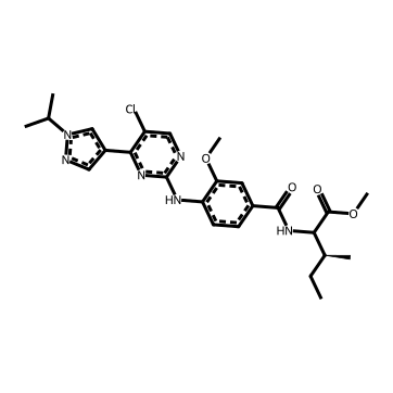 CC[C@H](C)C(NC(=O)c1ccc(Nc2ncc(Cl)c(-c3cnn(C(C)C)c3)n2)c(OC)c1)C(=O)OC